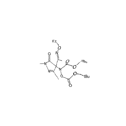 CCON=C(C)C1(N(OC(=O)OC(C)(C)C)C(=O)OC(C)(C)C)C(=O)N(C)N=C1C